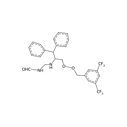 O=CNCNC(COOCc1cc(C(F)(F)F)cc(C(F)(F)F)c1)C(c1ccccc1)c1ccccc1